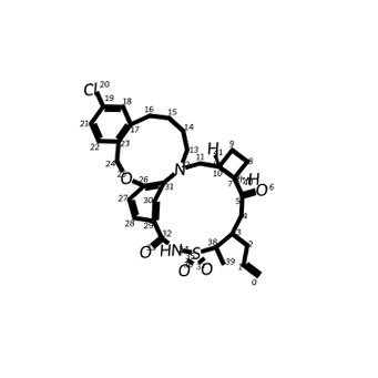 C=CCC1CC(=O)[C@@H]2CC[C@H]2CN2CCCCc3cc(Cl)ccc3COc3ccc(cc32)C(=O)NS(=O)(=O)C1C